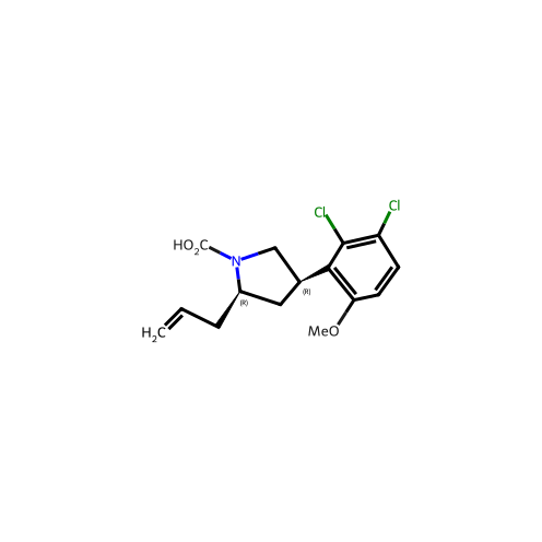 C=CC[C@@H]1C[C@H](c2c(OC)ccc(Cl)c2Cl)CN1C(=O)O